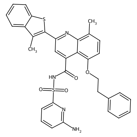 Cc1c(-c2cc(C(=O)NS(=O)(=O)c3cccc(N)n3)c3c(OCCc4ccccc4)ccc(C)c3n2)sc2ccccc12